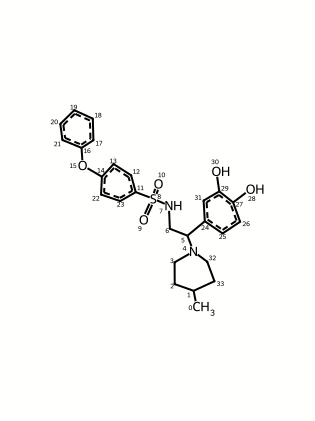 CC1CCN(C(CNS(=O)(=O)c2ccc(Oc3ccccc3)cc2)c2ccc(O)c(O)c2)CC1